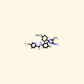 CCc1ccc(NC(=O)c2ccc(C(F)(F)F)cn2)cc1C1(C2CCC(OC)CC2)N=C(C)C(N)=N1